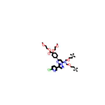 COCCOC(=O)[C@]1(OCCOC)CC[C@@H](c2cc(N(COCC[Si](C)(C)C)COCC[Si](C)(C)C)n3ncc(-c4ccc(Cl)nc4)c3n2)CC1